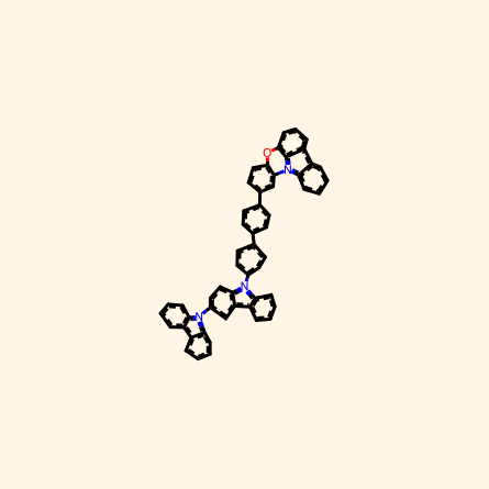 c1ccc2c(c1)c1ccccc1n2-c1ccc2c(c1)c1ccccc1n2-c1ccc(-c2ccc(-c3ccc4c(c3)-n3c5ccccc5c5cccc(c53)O4)cc2)cc1